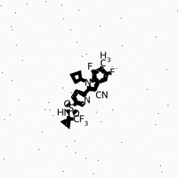 Cc1c(F)cc2c(C#N)c(-c3ccc(S(=O)(=O)NC4(C(F)(F)F)CC4)cn3)n(C3CCC3)c2c1F